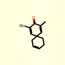 CC1=CC2(C=C(C(C)(C)C)C1=O)CC=CCC2